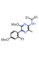 CCc1cc(OC)ccc1-c1nc(C)c(NC(CC)CC)nc1OC